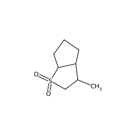 CC1CS(=O)(=O)C2CCCC12